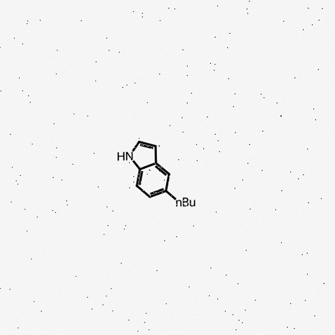 CCCCc1ccc2[nH]c[c]c2c1